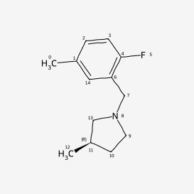 Cc1ccc(F)c(CN2CC[C@@H](C)C2)c1